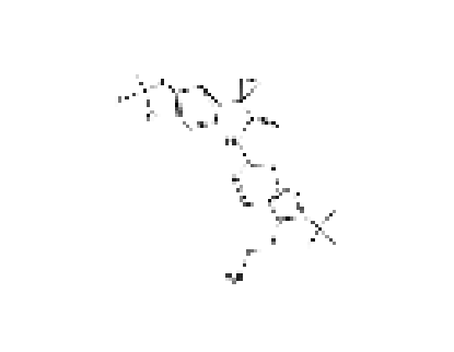 BCCn1c(C(C)(C)C)cc2cc(NC(=O)C3(c4ccc5c(c4)OC(F)(F)O5)CC3)ccc21